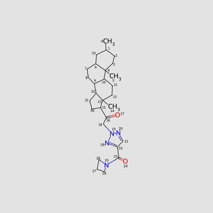 CC1CCC2(C)C(CCC3C2CCC2(C)C(C(=O)Cn4ncc(C(=O)N5CCC5)n4)CCC32)C1